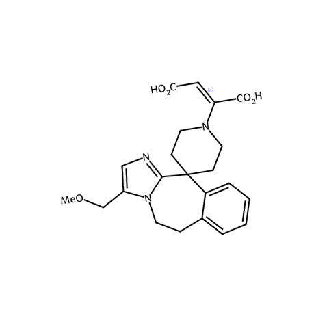 COCc1cnc2n1CCc1ccccc1C21CCN(/C(=C\C(=O)O)C(=O)O)CC1